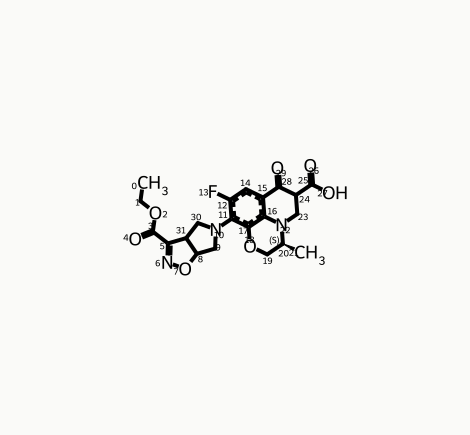 CCOC(=O)C1=NOC2CN(c3c(F)cc4c5c3OC[C@H](C)N5CC(C(=O)O)C4=O)CC12